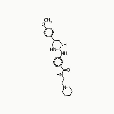 COc1ccc(C2CNC(Nc3cccc(C(=O)NCCN4CCCCC4)c3)NC2)cc1